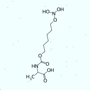 CC(NC(=O)OCCCCCCON(O)O)C(=O)O